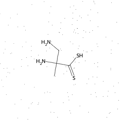 CC(N)(CN)C(=S)S